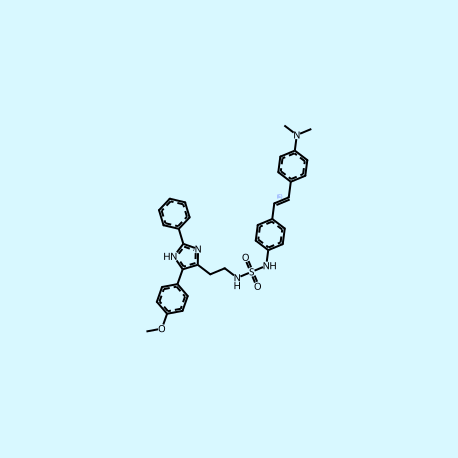 COc1ccc(-c2[nH]c(-c3ccccc3)nc2CCNS(=O)(=O)Nc2ccc(/C=C/c3ccc(N(C)C)cc3)cc2)cc1